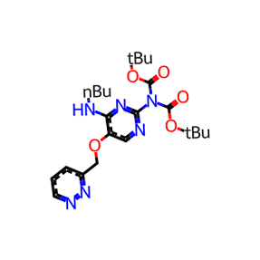 CCCCNc1nc(N(C(=O)OC(C)(C)C)C(=O)OC(C)(C)C)ncc1OCc1cccnn1